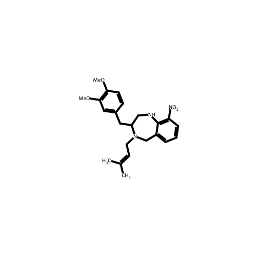 COc1ccc(CC2CNc3c(cccc3[N+](=O)[O-])CN2CC=C(C)C)cc1OC